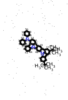 CC(C)(C)c1ccc2c(c1)c1cc(C(C)(C)C)cc3c4cc5c6ccc(N(c7ccccc7)c7ccccc7)c7c8ccccc8n(c5cc4n2c13)c67